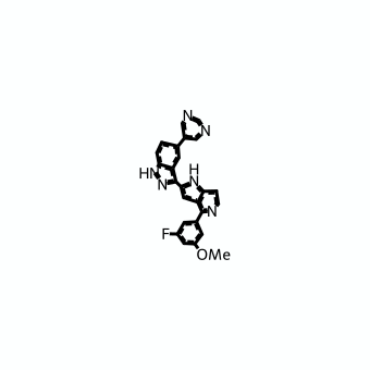 COc1cc(F)cc(-c2nccc3[nH]c(-c4n[nH]c5ccc(-c6cncnc6)cc45)cc23)c1